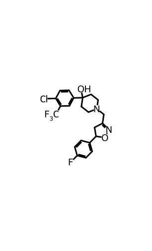 OC1(c2ccc(Cl)c(C(F)(F)F)c2)CCN(CC2=NOC(c3ccc(F)cc3)C2)CC1